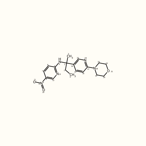 CCC(C)(Nc1ccc([N+](=O)[O-])cn1)c1ccc(N2CCOCC2)nc1